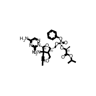 CC#CC1(N)C(CO)[C@@H](COP(=O)(Oc2ccccc2)O[C@@H](C)C(=O)OC(C)C)O[C@H]1n1ncc(N)nc1=O